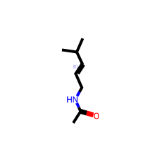 CC(=O)NC/C=C/C(C)C